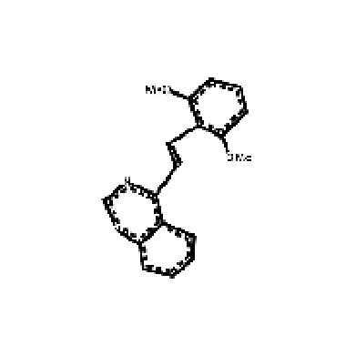 COc1cccc(OC)c1/C=C/c1ncnc2ccccc12